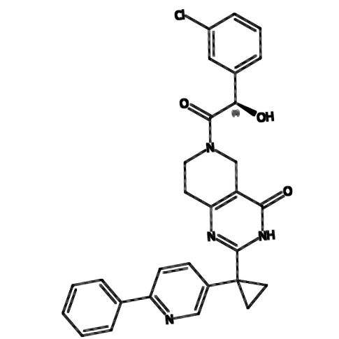 O=C([C@H](O)c1cccc(Cl)c1)N1CCc2nc(C3(c4ccc(-c5ccccc5)nc4)CC3)[nH]c(=O)c2C1